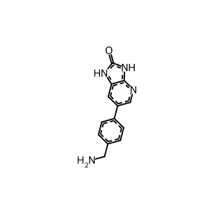 NCc1ccc(-c2cnc3[nH]c(=O)[nH]c3c2)cc1